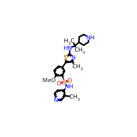 COc1ccc(-c2sc(NC(C)(C)C3CCNCC3)nc2C)cc1S(=O)(=O)Nc1ccncc1C